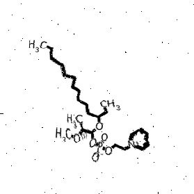 CCCCCCCCCCCC(CC)OC(OP(=O)([O-])OCC[n+]1ccccc1)[C@H](C)OC